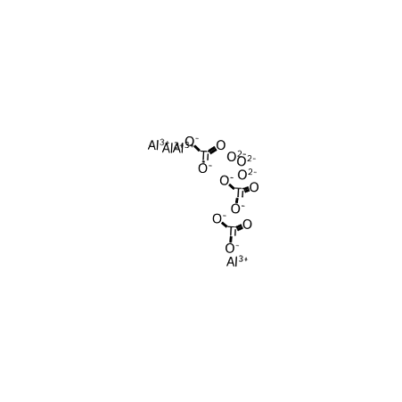 [Al+3].[Al+3].[Al+3].[Al+3].[O-2].[O-2].[O-2].[O]=[Ti]([O-])[O-].[O]=[Ti]([O-])[O-].[O]=[Ti]([O-])[O-]